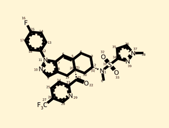 CN([C@H]1CCC2=Cc3c(cnn3-c3ccc(F)cc3)C[C@]2(C(=O)c2ccc(C(F)(F)F)cn2)C1)S(=O)(=O)c1ccn(C)n1